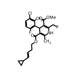 COC(=O)C1=C(CF)NC(C)=C(C(=O)OCCC=CC2CC2)C1c1c(F)ccc(Cl)c1C(F)(F)F